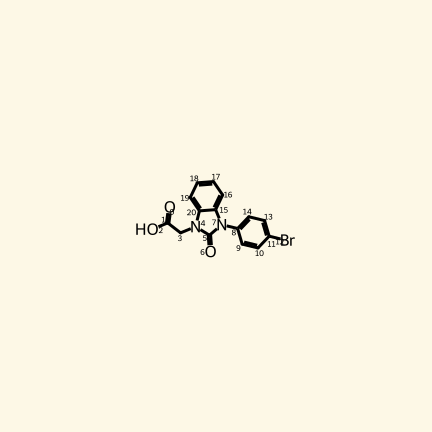 O=C(O)Cn1c(=O)n(-c2ccc(Br)cc2)c2ccccc21